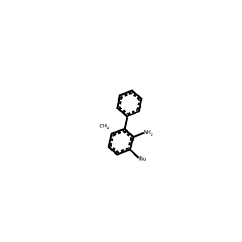 C.CCC(C)c1cccc(-c2ccccc2)c1N